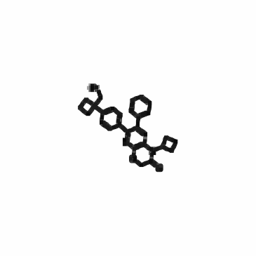 C[C](C)CC1(c2ccc(-c3nc4c(cc3-c3ccccc3)N(C3CCC3)C(=O)CO4)cc2)CCC1